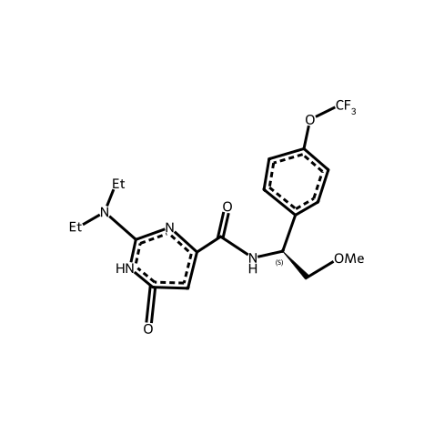 CCN(CC)c1nc(C(=O)N[C@H](COC)c2ccc(OC(F)(F)F)cc2)cc(=O)[nH]1